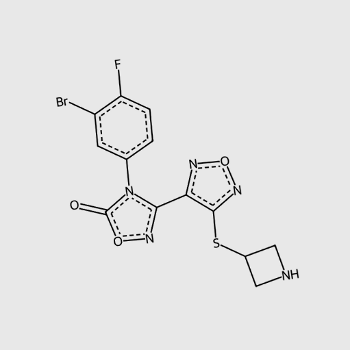 O=c1onc(-c2nonc2SC2CNC2)n1-c1ccc(F)c(Br)c1